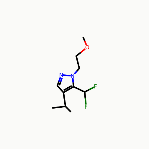 COCCn1ncc(C(C)C)c1C(F)F